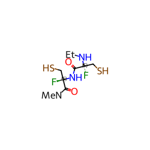 CCN[C@@](F)(CS)C(=O)N[C@@](F)(CS)C(=O)NC